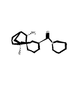 N[C@H]1C2CC[C@@H](C2)[C@]12CCC[C@H](C(=O)N1CCCCC1)C2